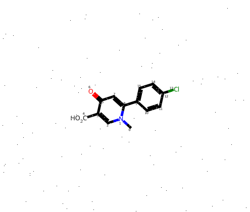 Cn1cc(C(=O)O)c(=O)cc1-c1ccc(Cl)cc1